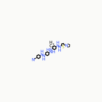 Cc1cc(NNc2ccc(N3CCCC3)s2)ccc1NNc1ccc(NNc2ccc(C#N)cc2)cc1